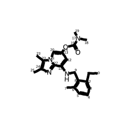 CCc1cccc(C)c1CNc1cc(OC(=O)N(C)C)cn2c(C)c(C)nc12